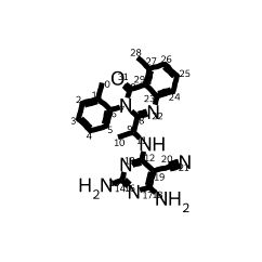 Cc1ccccc1-n1c(C(C)Nc2nc(N)nc(N)c2C#N)nc2cccc(C)c2c1=O